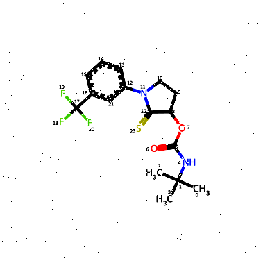 CC(C)(C)NC(=O)OC1CCN(c2cccc(C(F)(F)F)c2)C1=S